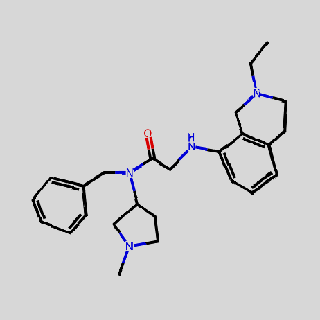 CCN1CCc2cccc(NCC(=O)N(Cc3ccccc3)C3CCN(C)C3)c2C1